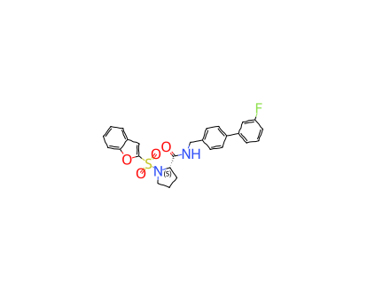 O=C(NCc1ccc(-c2cccc(F)c2)cc1)[C@@H]1CCCN1S(=O)(=O)c1cc2ccccc2o1